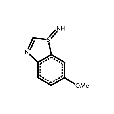 COc1ccc2c(c1)S(=N)C=N2